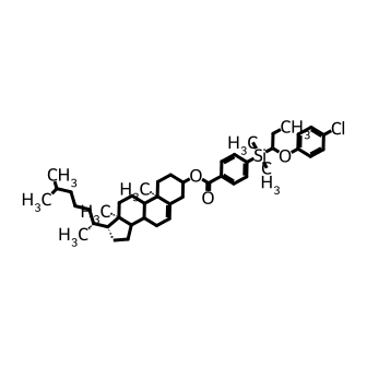 CCC(Oc1ccc(Cl)cc1)[Si](C)(C)c1ccc(C(=O)OC2CC[C@@]3(C)C(=CCC4C3CC[C@@]3(C)C4CC[C@@H]3[C@H](C)CCCC(C)C)C2)cc1